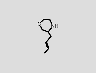 CC=CCC1COCCN1